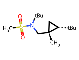 CC(C)(C)[C@H]1C[C@@]1(C)CN(C(C)(C)C)S(C)(=O)=O